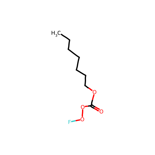 CCCCCCCOC(=O)OOF